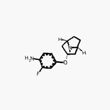 CN1[C@@H]2CC[C@H]1C[C@@H](Oc1ccc(N)c(F)c1)C2